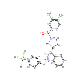 O=C(c1ccc(Cl)c(Cl)c1)N1CCC(c2cn(Cc3ccc(C(F)(F)F)cc3)c3ccccc23)C1